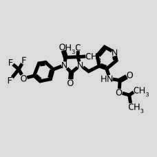 CC(C)OC(=O)Nc1cnccc1CN1C(=O)N(c2ccc(OC(F)(F)F)cc2)C(=O)C1(C)C